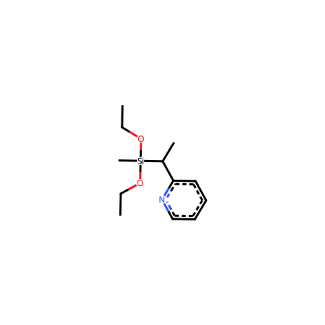 CCO[Si](C)(OCC)C(C)c1ccccn1